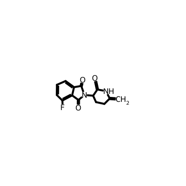 C=C1CCC(N2C(=O)c3cccc(F)c3C2=O)C(=O)N1